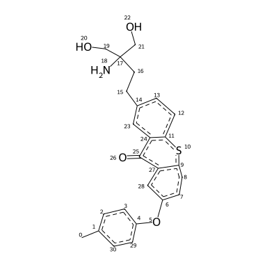 Cc1ccc(Oc2ccc3sc4ccc(CCC(N)(CO)CO)cc4c(=O)c3c2)cc1